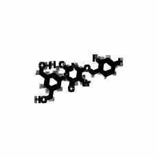 Cc1nc(OCc2ccc(F)cc2F)c(Br)c(=O)n1-c1cc(CO)cc(CO)c1